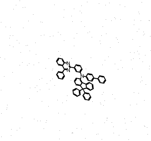 c1ccc(-c2ccc(N(c3cccc(-c4nc(-c5ccccc5)c5ccccc5n4)c3)c3cccc4c3-c3ccccc3C4(c3ccccc3)c3ccccc3)cc2)cc1